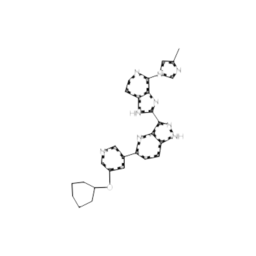 Cc1cn(-c2nccc3[nH]c(-c4n[nH]c5ccc(-c6cncc(OC7CCCCC7)c6)nc45)nc23)cn1